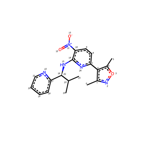 Cc1noc(C)c1-c1ccc([N+](=O)[O-])c(N[C@H](c2ccccn2)C(C)C)n1